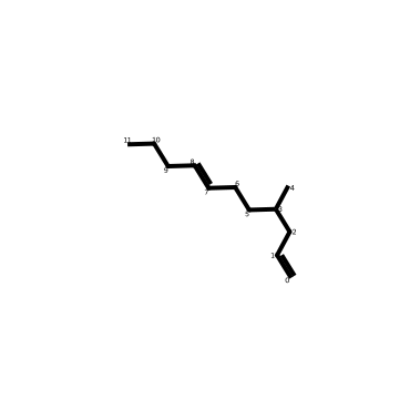 C=CCC(C)CCC=CCCC